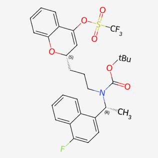 C[C@H](c1ccc(F)c2ccccc12)N(CCC[C@H]1C=C(OS(=O)(=O)C(F)(F)F)c2ccccc2O1)C(=O)OC(C)(C)C